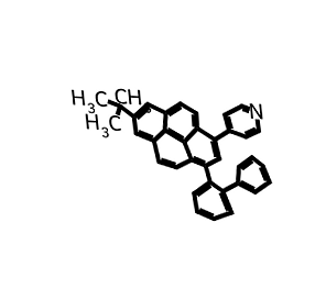 CC(C)(C)c1cc2ccc3c(-c4ccncc4)cc(-c4ccccc4-c4ccccc4)c4ccc(c1)c2c34